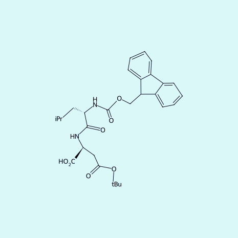 CC(C)C[C@H](NC(=O)OCC1c2ccccc2-c2ccccc21)C(=O)N[C@@H](CC(=O)OC(C)(C)C)C(=O)O